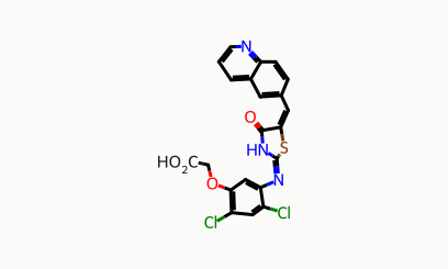 O=C(O)COc1cc(N=C2NC(=O)C(=Cc3ccc4ncccc4c3)S2)c(Cl)cc1Cl